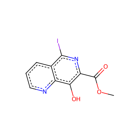 COC(=O)c1nc(I)c2cccnc2c1O